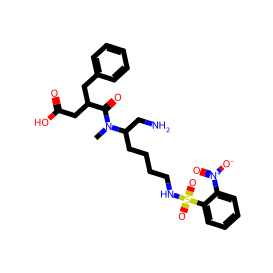 CN(C(=O)C(CC(=O)O)Cc1ccccc1)C(CN)CCCCNS(=O)(=O)c1ccccc1[N+](=O)[O-]